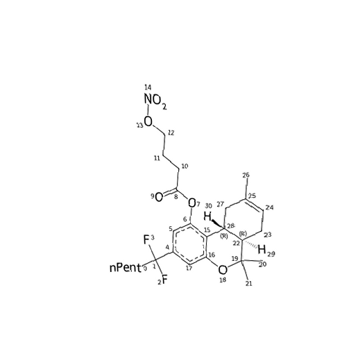 CCCCCC(F)(F)c1cc(OC(=O)CCCO[N+](=O)[O-])c2c(c1)OC(C)(C)[C@@H]1CC=C(C)C[C@@H]21